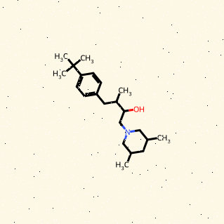 CC1CC(C)CN(CC(O)C(C)Cc2ccc(C(C)(C)C)cc2)C1